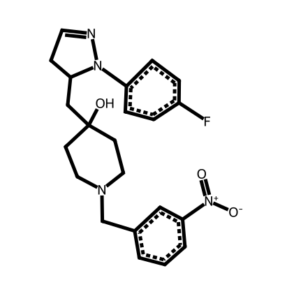 O=[N+]([O-])c1cccc(CN2CCC(O)(CC3CC=NN3c3ccc(F)cc3)CC2)c1